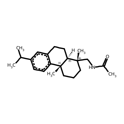 CC(=O)NC[C@]1(C)CCC[C@]2(C)c3ccc(C(C)C)cc3CC[C@@H]12